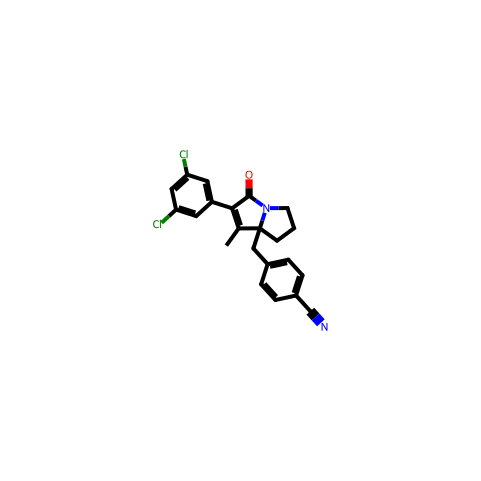 CC1=C(c2cc(Cl)cc(Cl)c2)C(=O)N2CCCC12Cc1ccc(C#N)cc1